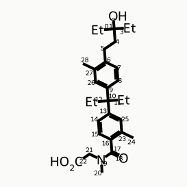 CCC(O)(CC)CCc1ccc(C(CC)(CC)c2ccc(C(=O)N(C)CC(=O)O)c(C)c2)cc1C